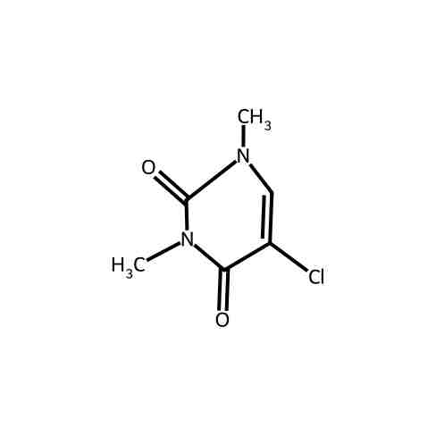 Cn1cc(Cl)c(=O)n(C)c1=O